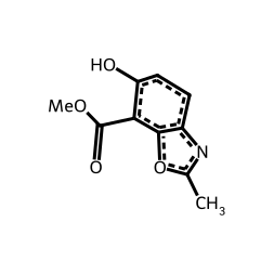 COC(=O)c1c(O)ccc2nc(C)oc12